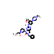 C=CC(=O)N1CCC[C@H](N2C(=O)N(Cc3ccccc3)Cc3cnc(Nc4ccc(N5CCN(C)CC5)cc4OC)nc32)C1